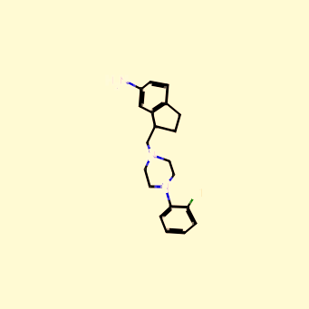 Nc1ccc2c(c1)C(CN1CCN(c3ccccc3Cl)CC1)CC2